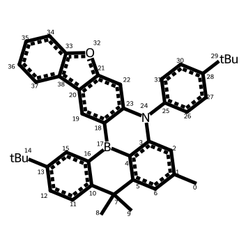 Cc1cc2c3c(c1)C(C)(C)c1ccc(C(C)(C)C)cc1B3c1cc3c(cc1N2c1ccc(C(C)(C)C)cc1)oc1ccccc13